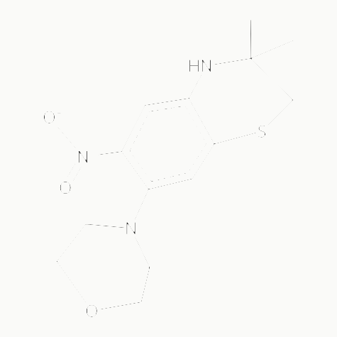 CC1(C)CSc2cc(N3CCOCC3)c([N+](=O)[O-])cc2N1